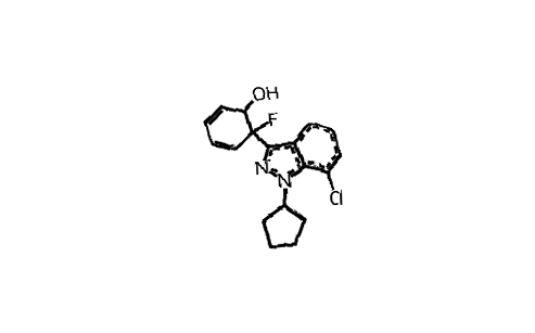 OC1C=CC=CC1(F)c1nn(C2CCCC2)c2c(Cl)cccc12